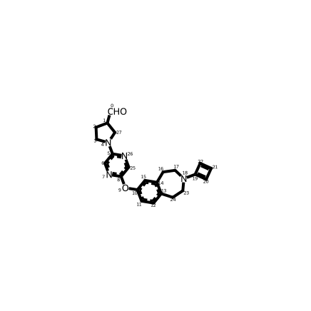 O=CC1CCN(c2cnc(Oc3ccc4c(c3)CCN(C3=CC=C3)CC4)cn2)C1